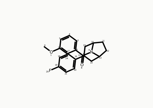 COc1cccc(C(=O)N2C3CCC2CC(c2ccc(F)cc2)C3)c1